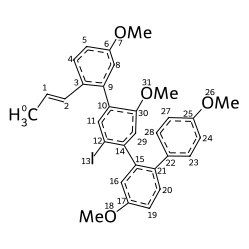 C/C=C/c1ccc(OC)cc1-c1cc(I)c(-c2cc(OC)ccc2-c2ccc(OC)cc2)cc1OC